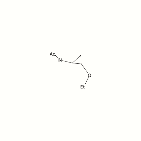 CCOC1CC1NC(C)=O